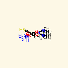 Cc1cc(C(CCCCCS)OC(=O)NC(N)N)ccc1OC(=O)N(CCCN(C)C)CCCN(C)C